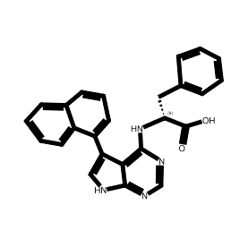 O=C(O)[C@@H](Cc1ccccc1)Nc1ncnc2[nH]cc(-c3cccc4ccccc34)c12